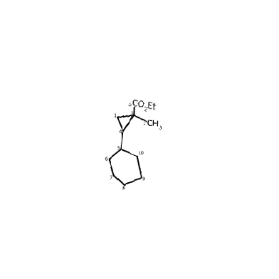 CCOC(=O)C1(C)CC1C1CCCCC1